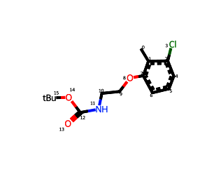 Cc1c(Cl)cccc1OCCNC(=O)OC(C)(C)C